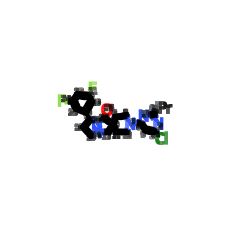 CC(C)c1nc(Cl)cc(N2CCC3(CC2)CN2CC[C@@H](c4cc(F)cc(F)c4)N2C3=O)n1